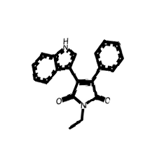 CCN1C(=O)C(c2ccccc2)=C(c2c[nH]c3ccccc23)C1=O